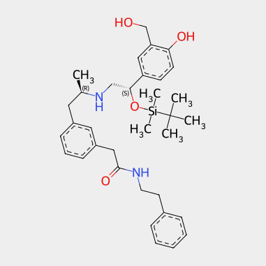 C[C@H](Cc1cccc(CC(=O)NCCc2ccccc2)c1)NC[C@@H](O[Si](C)(C)C(C)(C)C)c1ccc(O)c(CO)c1